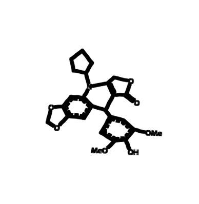 COc1cc(C2C3=C(COC3=O)N(C3CCCC3)c3cc4c(cc32)OCO4)cc(OC)c1O